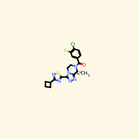 C[C@@H]1c2nnc(-c3nc(C4CCC4)ns3)n2CCN1C(=O)c1ccc(Cl)c(F)c1